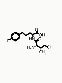 CC[C@H](C)[C@H](N)C(=O)NC(CCCc1ccc(F)cc1)C(=O)O